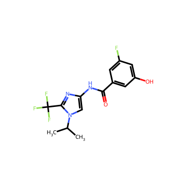 CC(C)n1cc(NC(=O)c2cc(O)cc(F)c2)nc1C(F)(F)F